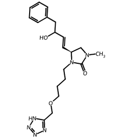 CN1C[C@H](C=CC(O)Cc2ccccc2)N(CCCCOCc2nnn[nH]2)C1=O